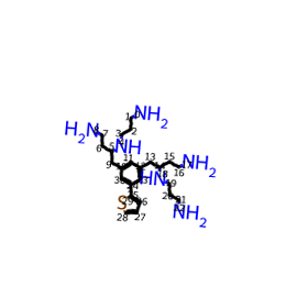 NCCCNC(CCN)Cc1cc(CC(CCN)NCCCN)cc(-c2cccs2)c1